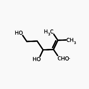 CC(C)=C([C]=O)C(O)CCO